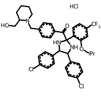 CC(C)Oc1cc(C(F)(F)F)ccc1C1(C(=O)c2ccc(CN3CCCCC3CO)cc2)NC(c2ccc(Cl)cc2)C(c2ccc(Cl)cc2)N1.Cl